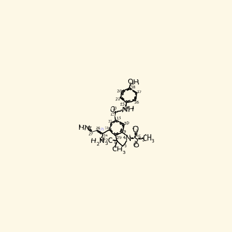 CC1(C)CN(S(C)(=O)=O)c2cc(C(=O)Nc3ccc(O)cc3)cc(/C(N)=C/C=N)c21